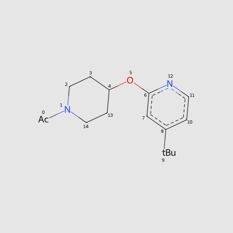 CC(=O)N1CCC(Oc2cc(C(C)(C)C)ccn2)CC1